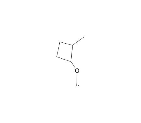 [CH2]OC1CCC1C